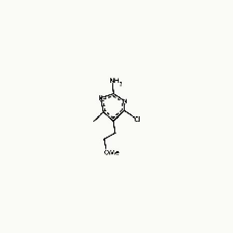 COCCc1c(C)nc(N)nc1Cl